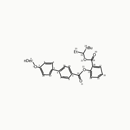 CCCCCCCCCCOc1ccc(-c2ccc(C(=O)Oc3ccccc3C(=O)OC(CC)CCCC)cc2)cc1